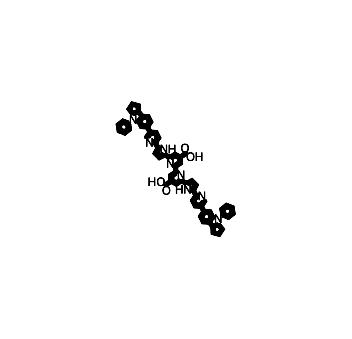 O=C(O)c1cc(-c2cc(C(=O)O)cc(-c3ccc(-c4ccc(-c5ccc6c(c5)N(c5ccccc5)C5CCCC65)cn4)[nH]3)n2)nc(-c2ccc(-c3ccc(-c4ccc5c(c4)N(c4ccccc4)C4CCCC54)cn3)[nH]2)c1